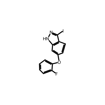 Fc1ccccc1Oc1ccc2c(I)n[nH]c2c1